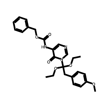 CCOC(Cc1ccc(OC)cc1)(OCC)n1cncc(NC(=O)OCc2ccccc2)c1=O